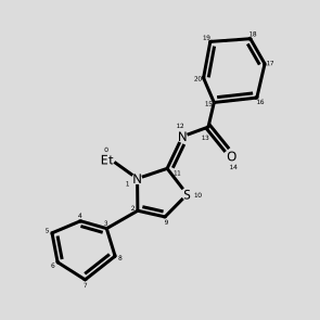 CCn1c(-c2ccccc2)csc1=NC(=O)c1ccccc1